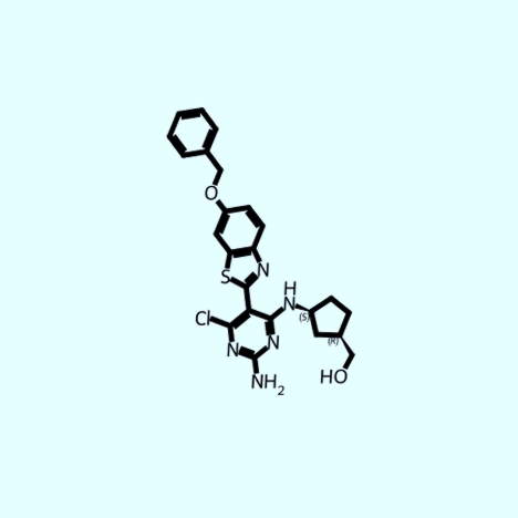 Nc1nc(Cl)c(-c2nc3ccc(OCc4ccccc4)cc3s2)c(N[C@H]2CC[C@@H](CO)C2)n1